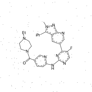 CCN1CCN(C(=O)c2ccc(Nc3ncc(F)c(-c4cnc5nn(C)c(C(C)C)c5c4)n3)nc2)CC1